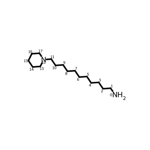 NCCCCCCCCCCCN1CCCCC1